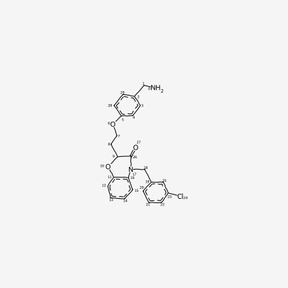 NCc1ccc(OCCC2Oc3ccccc3N(Cc3cccc(Cl)c3)C2=O)cc1